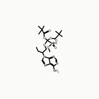 CCC(COC(OC(=O)C(C)(C)C)(OC(=O)C(C)(C)C)P(=O)(O)OC)n1cnc2c(N)ncnc21